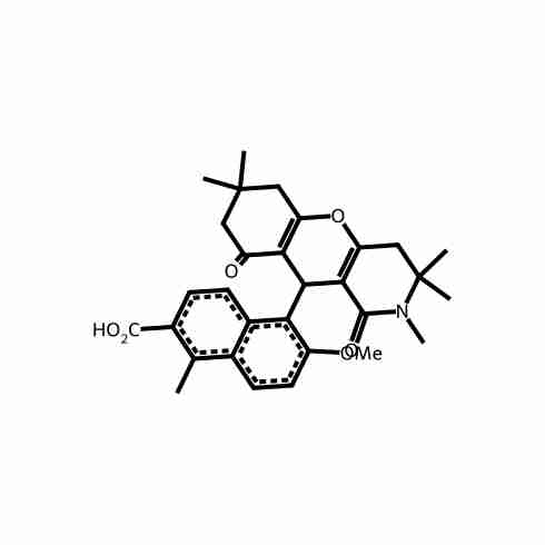 COc1ccc2c(C)c(C(=O)O)ccc2c1C1C2=C(CC(C)(C)CC2=O)OC2=C1C(=O)N(C)C(C)(C)C2